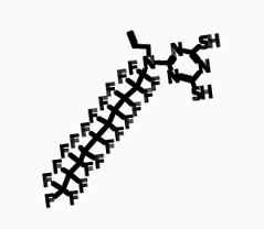 C=CCN(c1nc(S)nc(S)n1)C(F)(F)C(F)(F)C(F)(F)C(F)(F)C(F)(F)C(F)(F)C(F)(F)C(F)(F)C(F)(F)C(F)(F)F